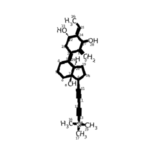 C=C1C(=C2CCC[C@@]3(C)C(C#CC#C[Si](C)(C)C)CC[C@H]23)C[C@H](O)/C(=C\C)C1O